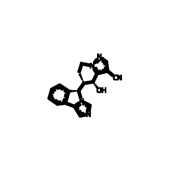 N#Cc1cnn2c1[C@H](O)[C@H]([C@H]1c3ccccc3-c3cncn31)CC2